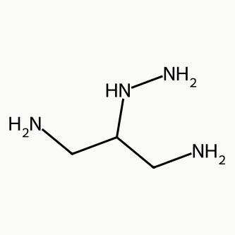 NCC(CN)NN